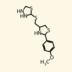 COc1ccc(C2NC(CSC3NNCS3)CS2)cc1